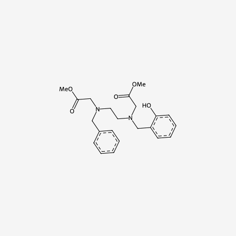 COC(=O)CN(CCN(CC(=O)OC)Cc1ccccc1O)Cc1ccccc1